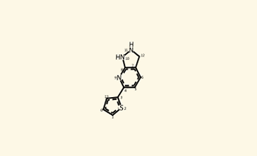 c1csc(-c2ccc3c(n2)NNC3)c1